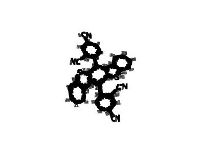 N#Cc1ccc(-c2c3sc4ccccc4c3c(-c3ccc(C#N)cc3C#N)c3sc4ccccc4c23)c(C#N)c1